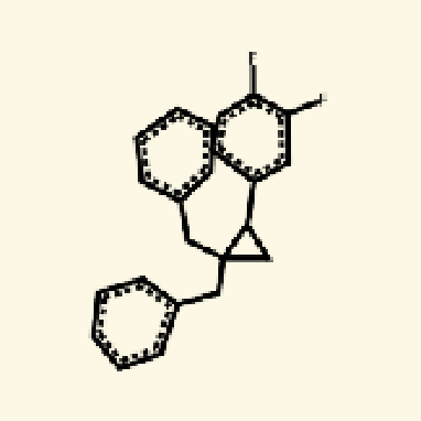 Fc1ccc(C2CC2(Cc2ccccc2)Cc2ccccc2)cc1F